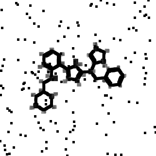 C1=C(N(Cc2ccccc2)c2nnc(-c3cccnc3NCC3COCCO3)[nH]2)OCO1